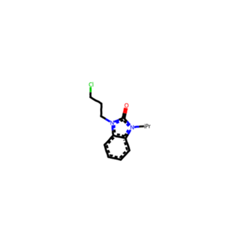 CC(C)n1c(=O)n(CCCCl)c2ccccc21